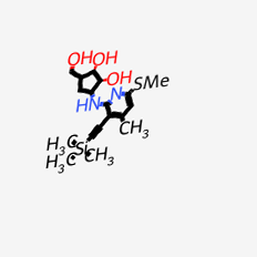 CSc1cc(C)c(C#C[Si](C)(C)C)c(NC2CC(CO)[C@@H](O)[C@H]2O)n1